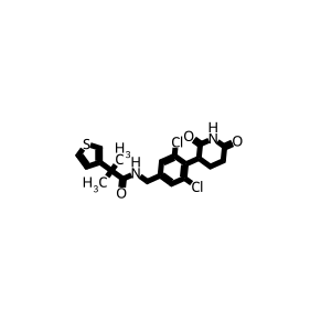 CC(C)(C(=O)NCc1cc(Cl)c(C2CCC(=O)NC2=O)c(Cl)c1)c1ccsc1